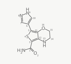 NC(=O)c1sc(-c2cn[nH]c2)c2c1NCCO2